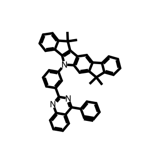 CC1(C)c2ccccc2-c2cc3c4c(n(-c5cccc(-c6nc(-c7c#cccc7)c7ccccc7n6)c5)c3cc21)-c1ccccc1C4(C)C